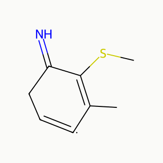 CSC1=C(C)[C]=CCC1=N